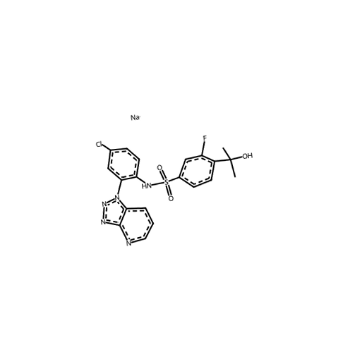 CC(C)(O)c1ccc(S(=O)(=O)Nc2ccc(Cl)cc2-n2nnc3ncccc32)cc1F.[Na]